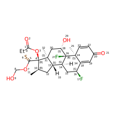 CCC(=O)O[C@]1(C(=S)OCO)[C@H](C)C[C@H]2[C@@H]3C[C@H](F)C4=CC(=O)C=C[C@]4(C)[C@@]3(F)[C@@H](O)C[C@@]21C